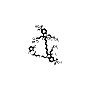 COCCN1c2ccc(S(=O)(=O)O)cc2C(C)(CCCS(=O)(=O)O)C1(C)/C=C/C=C/C=C/C=C1/N(CCOCCC(=O)ON2C(=O)CCC2=O)c2ccc(S(=O)(=O)O)cc2C1(C)CCOC